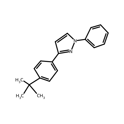 CC(C)(C)c1ccc(-c2ccn(-c3ccccc3)n2)cc1